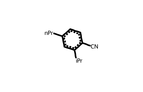 CCCc1ccc(C#N)c(C(C)C)c1